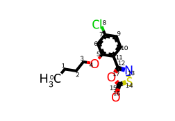 CCCCOc1cc(Cl)ccc1-c1nsc(=O)o1